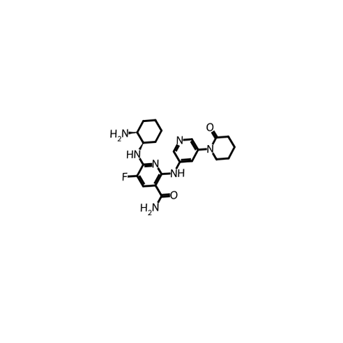 NC(=O)c1cc(F)c(N[C@@H]2CCCC[C@@H]2N)nc1Nc1cncc(N2CCCCC2=O)c1